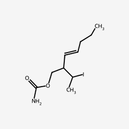 CCCC=CC(COC(N)=O)C(C)I